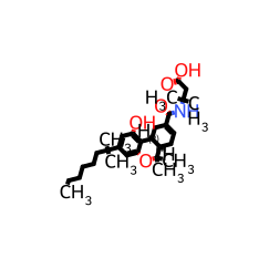 CCCCCCC(C)(C)c1cc(O)c2c(c1)OC(C)(C)[C@@H]1CC=C(C(=O)NC(C)(C)CC(=O)O)C[C@@H]21